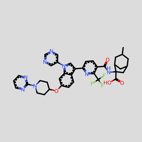 CC1CC2CC(C1)C(NC(=O)c1ccc(-c3cn(-c4cncnc4)c4cc(OC5CCN(c6ncccn6)CC5)ccc34)nc1C(F)(F)F)(C(=O)O)C2